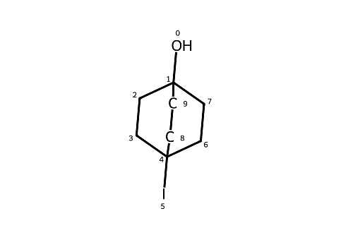 OC12CCC(I)(CC1)CC2